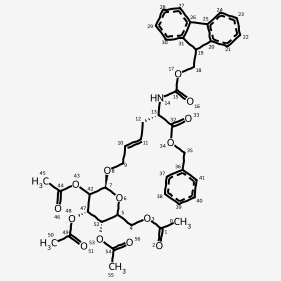 CC(=O)OCC1O[C@H](OCC=CC[C@H](NC(=O)OCC2c3ccccc3-c3ccccc32)C(=O)OCc2ccccc2)C(OC(C)=O)[C@@H](OC(C)=O)[C@H]1OC(C)=O